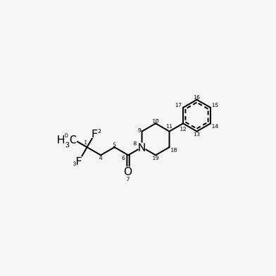 CC(F)(F)CCC(=O)N1CCC(c2ccccc2)CC1